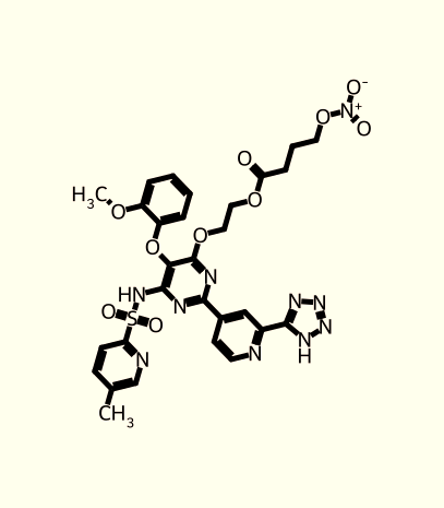 COc1ccccc1Oc1c(NS(=O)(=O)c2ccc(C)cn2)nc(-c2ccnc(-c3nnn[nH]3)c2)nc1OCCOC(=O)CCCO[N+](=O)[O-]